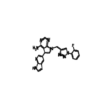 Nc1ncnc2c1c(-c1cnc3[nH]ccc3c1)cn2Cc1cn(-c2ccccc2F)nn1